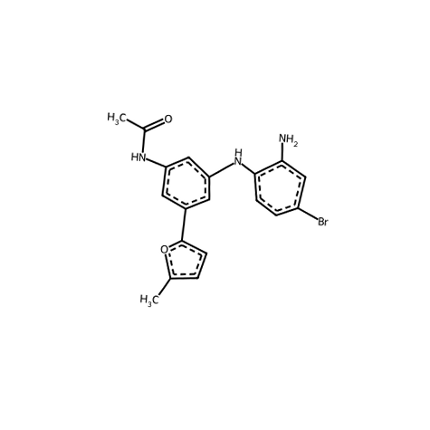 CC(=O)Nc1cc(Nc2ccc(Br)cc2N)cc(-c2ccc(C)o2)c1